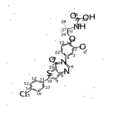 COc1cc(-n2cnc3cc(-c4ccc(Cl)cc4)sc3c2=O)ccc1OC[C@H](C)NC(=O)O